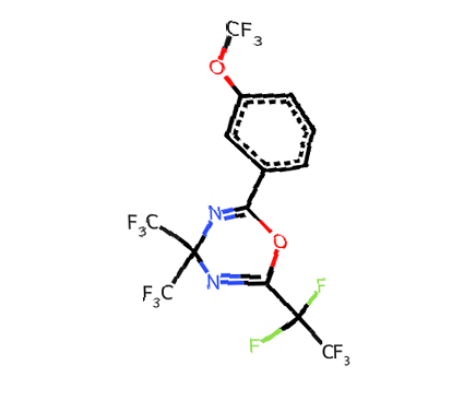 FC(F)(F)Oc1cccc(C2=NC(C(F)(F)F)(C(F)(F)F)N=C(C(F)(F)C(F)(F)F)O2)c1